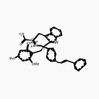 COc1cc(OC)c(C[C@@]2(c3ccc(C=Cc4ccccc4)cc3)N[C@@H](C(N)=O)Cc3c2[nH]c2ccccc32)c(OC)c1